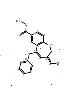 COC(=O)c1ccc2c(c1)C(Cc1ccccc1)=C/C(=C/Cl)CO2